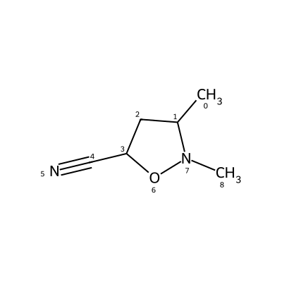 CC1CC(C#N)ON1C